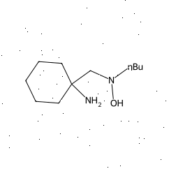 CCCCN(O)CC1(N)CCCCC1